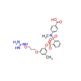 Cc1cc(OCCCONC(=N)N)cc(OS(=O)(=O)c2ccccc2S(=O)(=O)N(C)c2ccc(C(=O)O)cc2)c1